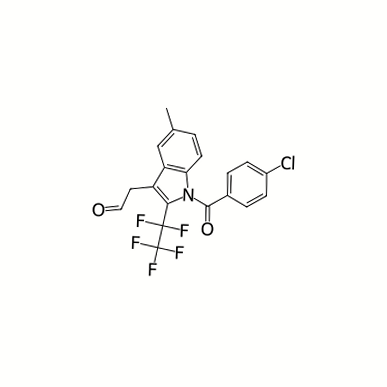 Cc1ccc2c(c1)c(CC=O)c(C(F)(F)C(F)(F)F)n2C(=O)c1ccc(Cl)cc1